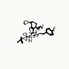 CN(CCc1ccc(F)cc1)S(=O)(=O)c1c(NC(=O)OC(C)(C)C)sc2c1C(C#N)CCC2=O